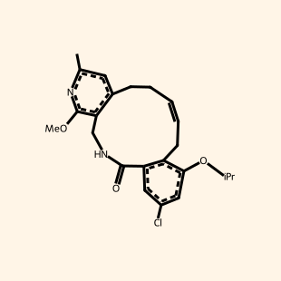 COc1nc(C)cc2c1CNC(=O)c1cc(Cl)cc(OC(C)C)c1CC=CCC2